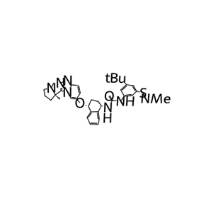 CNSc1cc(NC(=O)N[C@H]2CC[C@@H](Oc3ccc4nnc([C@]5(C)CCCN5C)n4c3)c3ccccc32)cc(C(C)(C)C)c1